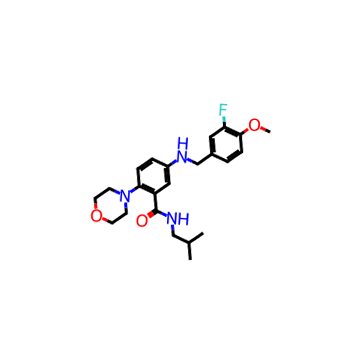 COc1ccc(CNc2ccc(N3CCOCC3)c(C(=O)NCC(C)C)c2)cc1F